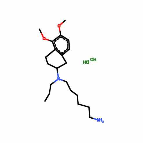 CCCN(CCCCCCN)C1CCc2c(ccc(OC)c2OC)C1.Cl.Cl